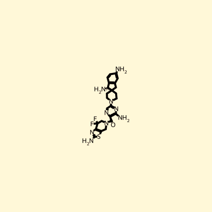 Nc1ccc2c(c1)CC1(CCN(c3cnc(C(=O)N4Cc5sc(N)nc5C(F)(F)C4)c(N)n3)CC1)[C@H]2N